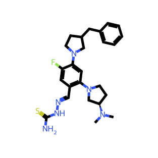 CN(C)[C@@H]1CCN(c2cc(N3CCC(Cc4ccccc4)C3)c(F)cc2/C=N/NC(N)=S)C1